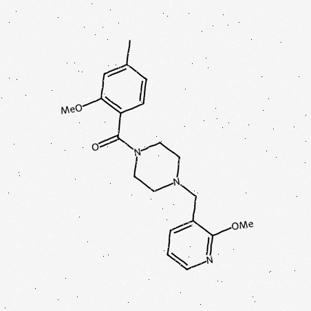 COc1cc(C)ccc1C(=O)N1CCN(Cc2cccnc2OC)CC1